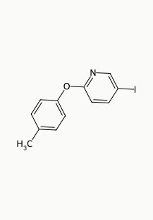 Cc1ccc(Oc2ccc(I)cn2)cc1